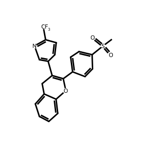 CS(=O)(=O)c1ccc(C2=C(c3ccc(C(F)(F)F)nc3)Cc3ccccc3O2)cc1